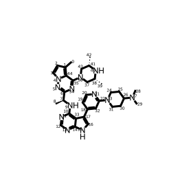 Cc1ccn2nc([C@H](C)Nc3ncnc4[nH]cc(-c5ccnc(N6CCC(N(C)C)CC6)c5)c34)nc(N3C[C@@H](C)N[C@@H](C)C3)c12